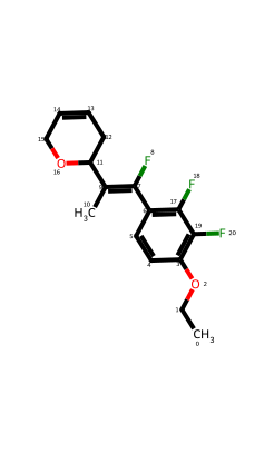 CCOc1ccc(/C(F)=C(\C)C2CC=CCO2)c(F)c1F